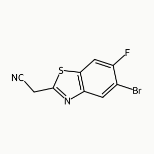 N#CCc1nc2cc(Br)c(F)cc2s1